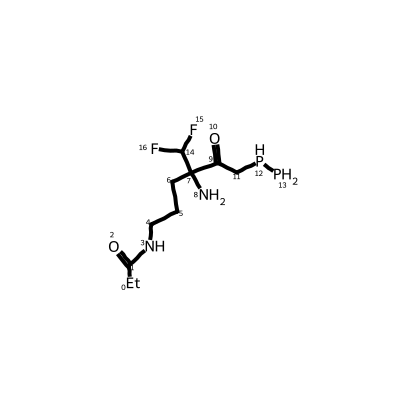 CCC(=O)NCCCC(N)(C(=O)CPP)C(F)F